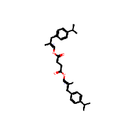 C/C(=C\OC(=O)CCC(=O)O/C=C(\C)Cc1ccc(C(C)C)cc1)Cc1ccc(C(C)C)cc1